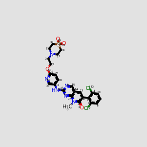 Cn1c(=O)c(-c2c(Cl)cccc2Cl)cc2cnc(Nc3ccc(OCCN4CCS(=O)(=O)CC4)nc3)nc21